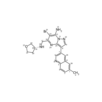 Cc1ccc2ncc(-c3cnn4c(N)c(Br)c(CN[C@@H]5CCOC5)nc34)cc2c1